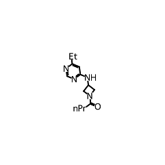 CCCC(=O)N1CC(Nc2cc(CC)ncn2)C1